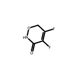 O=C1NOCC(F)=C1F